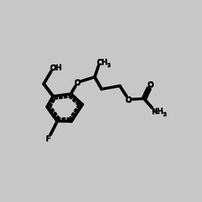 CC(CCOC(N)=O)Oc1ccc(F)cc1CO